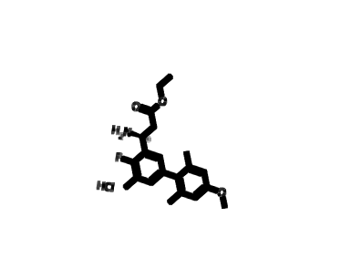 CCOC(=O)C[C@H](N)c1cc(-c2c(C)cc(OC)cc2C)cc(C)c1F.Cl